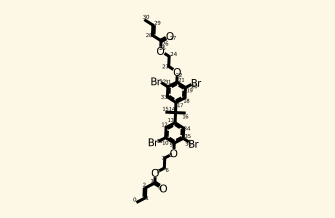 CC=CC(=O)OCCOc1c(Br)cc(C(C)(C)c2cc(Br)c(OCCOC(=O)C=CC)c(Br)c2)cc1Br